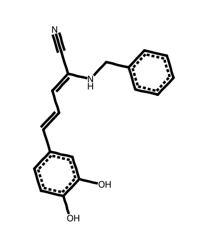 N#CC(=CC=Cc1ccc(O)c(O)c1)NCc1ccccc1